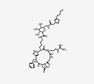 N=C(N)NCCC[C@@H]1NC(=O)[C@H](CCCCNC(=O)C2O[C@H](CNC(=O)Cn3cc(CCCF)nn3)[C@H](O)C(O)[C@@H]2O)n2cc(nn2)[C@H](Cc2ccccc2)NC(=O)[C@H](CC(=O)O)NC(=O)CNC1=O